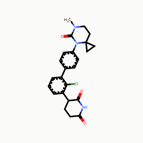 CN1CCC2(CC2)N(c2ccc(-c3cccc(C4CCC(=O)NC4=O)c3Cl)cc2)C1=O